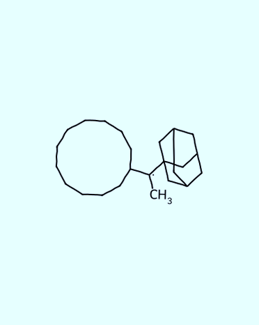 C[C](C1CCCCCCCCCCC1)C12CC3CC(CC(C3)C1)C2